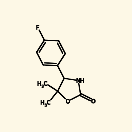 CC1(C)OC(=O)NC1c1ccc(F)cc1